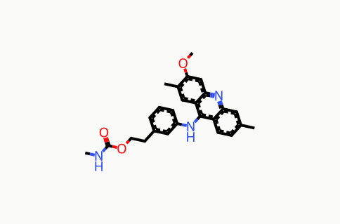 CNC(=O)OCCc1cccc(Nc2c3ccc(C)cc3nc3cc(OC)c(C)cc23)c1